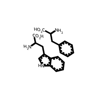 NC(Cc1c[nH]c2ccccc12)C(=O)O.NC(Cc1ccccc1)C(=O)O